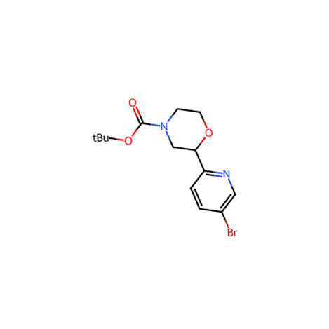 CC(C)(C)OC(=O)N1CCOC(c2ccc(Br)cn2)C1